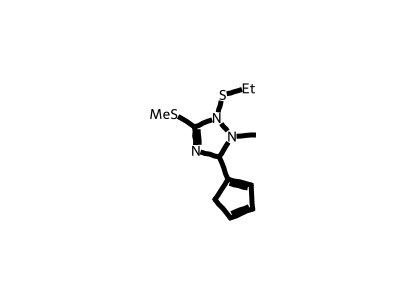 CCSN1C(SC)=NC(C2=CC=CC2)N1C